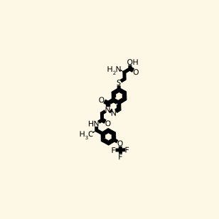 C[C@H](NC(=O)Cn1ncc2ccc(SC[C@H](N)C(=O)O)cc2c1=O)c1ccc(OC(F)(F)F)cc1